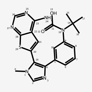 Cn1cnc(-c2cccc(N(C(=O)O)C(C)(C)C)c2)c1-c1cc2c(N)ncnc2s1